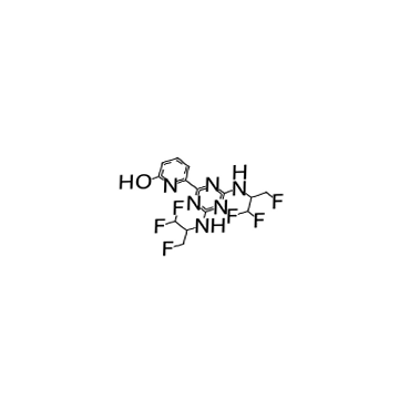 Oc1cccc(-c2nc(NC(CF)C(F)F)nc(NC(CF)C(F)F)n2)n1